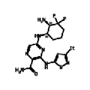 CCc1cc(Nc2nc(N[C@@H]3CCCC(F)(F)[C@@H]3N)cnc2C(N)=O)sn1